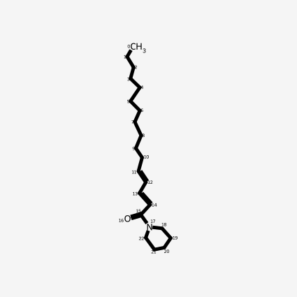 CCCCCCCCCCCC=CC=CC(=O)N1CCCCC1